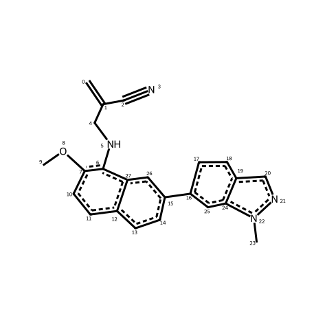 C=C(C#N)CNc1c(OC)ccc2ccc(-c3ccc4cnn(C)c4c3)cc12